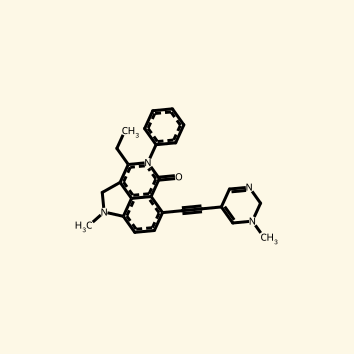 CCc1c2c3c(ccc(C#CC4=CN(C)CN=C4)c3c(=O)n1-c1ccccc1)N(C)C2